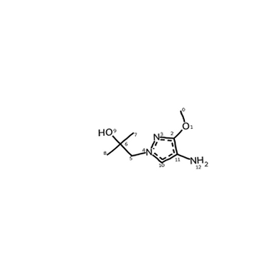 COc1nn(CC(C)(C)O)cc1N